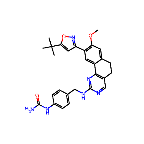 COc1cc2c(cc1-c1cc(C(C)(C)C)on1)-c1nc(NCc3ccc(NC(N)=O)cc3)ncc1CC2